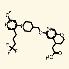 COc1cc(N2CCC(COc3cc4c(cn3)OCCC4CC(=O)O)CC2)c(CCCC(F)(F)F)cn1